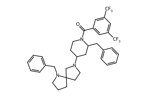 O=C(c1cc(C(F)(F)F)cc(C(F)(F)F)c1)N1CCC(N2CCC3(CCCN3Cc3ccccc3)C2)CC1Cc1ccccc1